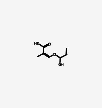 C[CH]C(O)OC=C(C)C(=O)O